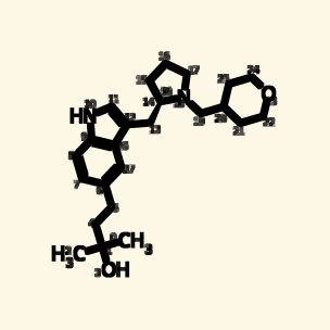 CC(C)(O)CCc1ccc2[nH]cc(C[C@H]3CCCN3CC3CCOCC3)c2c1